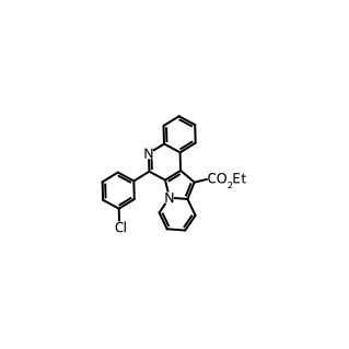 CCOC(=O)c1c2c3ccccc3nc(-c3cccc(Cl)c3)c2n2ccccc12